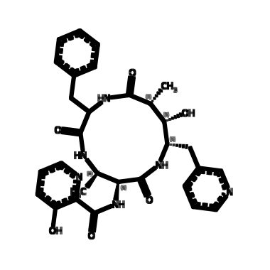 C[C@H]1NC(=O)C(Cc2ccccc2)NC(=O)[C@H](C)[C@H](O)[C@H](Cc2cccnc2)NC(=O)[C@H]1NC(=O)c1ncccc1O